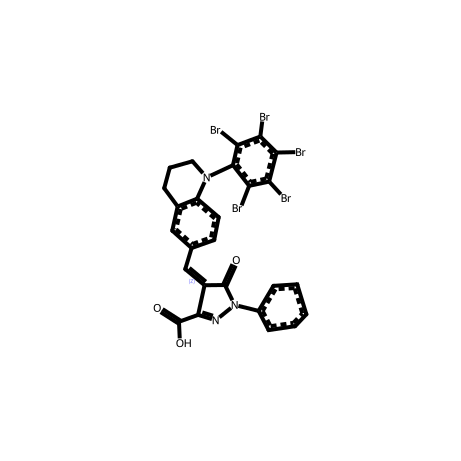 O=C(O)C1=NN(c2ccccc2)C(=O)/C1=C\c1ccc2c(c1)CCCN2c1c(Br)c(Br)c(Br)c(Br)c1Br